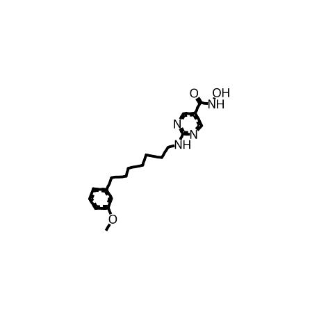 COc1cccc(CCCCCCCNc2ncc(C(=O)NO)cn2)c1